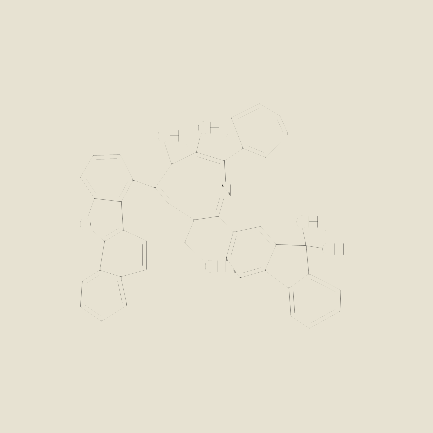 CCC1/C=C(/c2cccc3oc4c5ccccc5ccc4c23)C(C)/C(C)=C(c2ccccc2)\N=C/1c1ccc2c(c1)C(C)(C)c1ccccc1-2